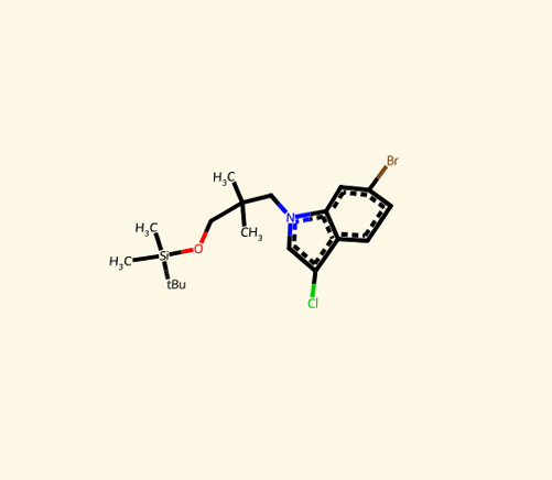 CC(C)(CO[Si](C)(C)C(C)(C)C)Cn1cc(Cl)c2ccc(Br)cc21